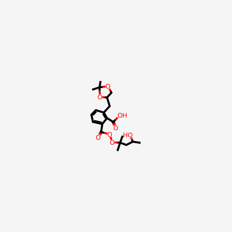 CC(O)CC(C)(C)OOC(=O)c1cccc(CC2COC(C)(C)O2)c1C(=O)O